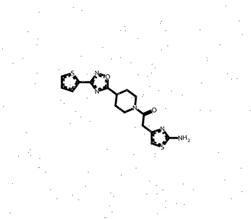 Nc1nc(CC(=O)N2CCC(c3nc(-c4cccs4)no3)CC2)cs1